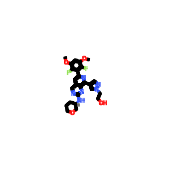 COc1cc(OC)c(F)c(-c2cc3cnc(N[C@H]4CCCOC4)nc3c(-c3cnn(CCO)c3)n2)c1F